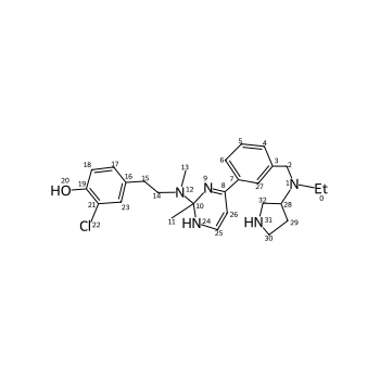 CCN(Cc1cccc(C2=NC(C)(N(C)CCc3ccc(O)c(Cl)c3)NC=C2)c1)C1CCNC1